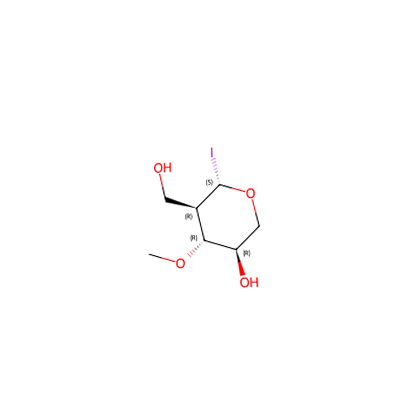 CO[C@@H]1[C@@H](CO)[C@H](I)OC[C@H]1O